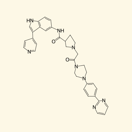 O=C(Nc1ccc2[nH]cc(-c3ccncc3)c2c1)C1CCN(CC(=O)N2CCN(c3ccc(-c4ncccn4)cc3)CC2)C1